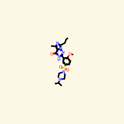 CCCc1nc(C)c2c(=O)[nH]c(-c3cc(S(=O)(=O)N4CCN(C(C)C)CC4)ccc3OC)nn12